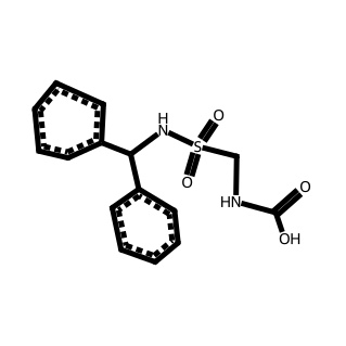 O=C(O)NCS(=O)(=O)NC(c1ccccc1)c1ccccc1